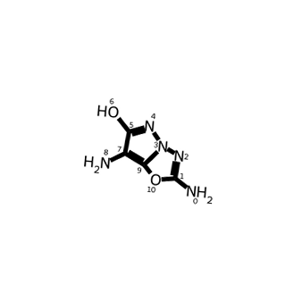 Nc1nn2nc(O)c(N)c2o1